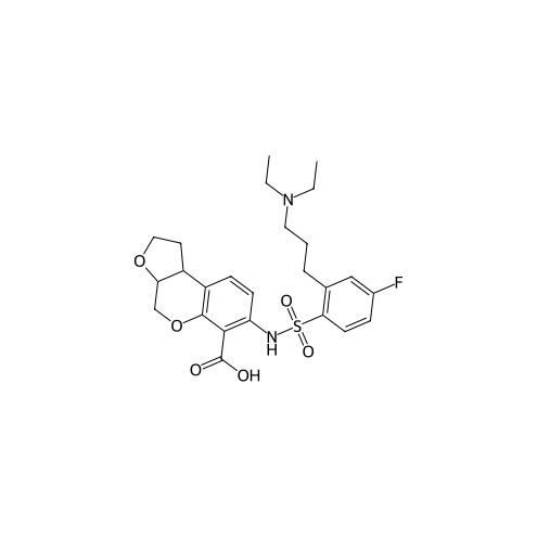 CCN(CC)CCCc1cc(F)ccc1S(=O)(=O)Nc1ccc2c(c1C(=O)O)OCC1OCCC21